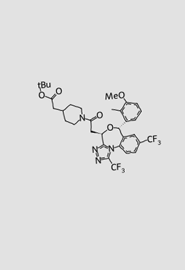 COc1cccc([C@H]2O[C@H](CC(=O)N3CCC(CC(=O)OC(C)(C)C)CC3)c3nnc(C(F)(F)F)n3-c3ccc(C(F)(F)F)cc32)c1C